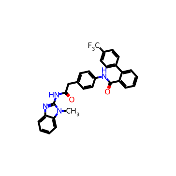 Cn1c(NC(=O)Cc2ccc(NC(=O)c3ccccc3-c3ccc(C(F)(F)F)cc3)cc2)nc2ccccc21